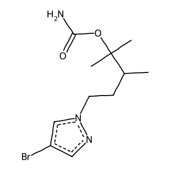 CC(CCn1cc(Br)cn1)C(C)(C)OC(N)=O